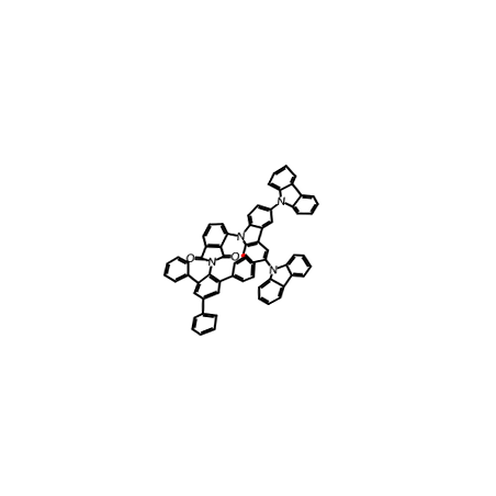 O=C1c2cccc(-n3c4ccc(-n5c6ccccc6c6ccccc65)cc4c4cc(-n5c6ccccc6c6ccccc65)ccc43)c2C(=O)N1c1c(-c2ccccc2)cc(-c2ccccc2)cc1-c1ccccc1